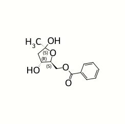 C[C@@]1(O)C[C@@H](O)[C@H](COC(=O)c2ccccc2)O1